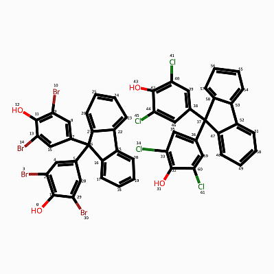 Oc1c(Br)cc(C2(c3cc(Br)c(O)c(Br)c3)c3ccccc3-c3ccccc32)cc1Br.Oc1c(Cl)cc(C2(c3cc(Cl)c(O)c(Cl)c3)c3ccccc3-c3ccccc32)cc1Cl